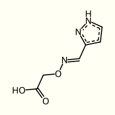 O=C(O)CON=Cc1cc[nH]n1